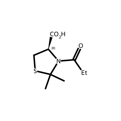 CCC(=O)N1[C@H](C(=O)O)CSC1(C)C